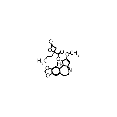 CCC[C@]1(C(=O)O[C@@H]2C(OC)=C[C@]34CCCN3CCc3cc5c(cc3[C@H]24)OCO5)CC(=O)O1